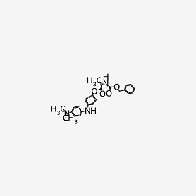 C[C@H](NC(=O)OCc1ccccc1)C(=O)Oc1ccc(Nc2ccc(N(C)C)cc2)cc1